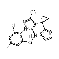 Cc1cc(Cl)c(-n2nc(C#N)c(C3(c4nccs4)CC3)c2N)c(Cl)c1